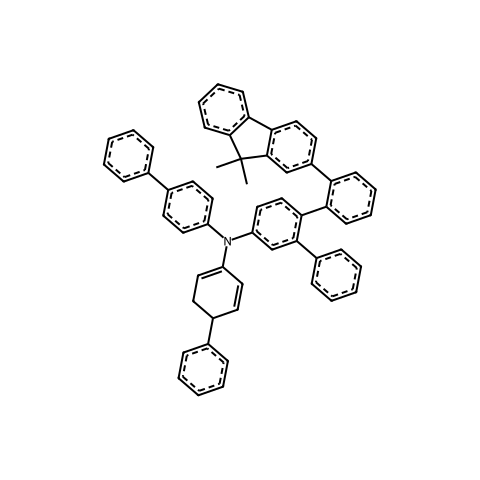 CC1(C)c2ccccc2-c2ccc(-c3ccccc3-c3ccc(N(C4=CCC(c5ccccc5)C=C4)c4ccc(-c5ccccc5)cc4)cc3-c3ccccc3)cc21